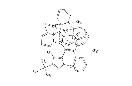 CC1=CC=CC2[CH]([Zr+2]([C]3=C(C)C(C(C)(C)C)=CC3C)=[C](c3ccccc3)c3ccccc3)C3(C)C4(C)C=CC=CC4(C)C4(C)C=CC=CC4(C)C3(C)C12C.[Cl-].[Cl-]